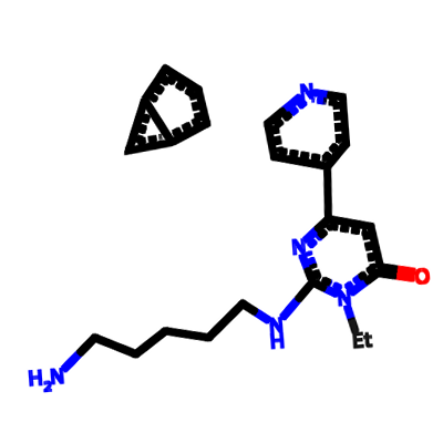 CCn1c(NCCCCCN)nc(-c2ccncc2)cc1=O.c1cc2cc-2c1